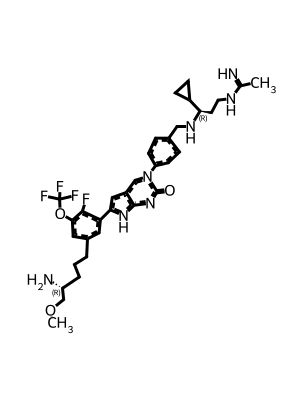 COC[C@H](N)CCCc1cc(OC(F)(F)F)c(F)c(-c2cc3cn(-c4ccc(CN[C@H](CCNC(C)=N)C5CC5)cc4)c(=O)nc3[nH]2)c1